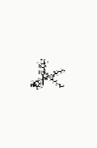 CCCCCCCCN(CCCCCCCC)c1nc(NCC2CC(C)(C)NC(C)(C)C2)nc(NCC2CC(C)(C)NC(C)(C)C2)n1